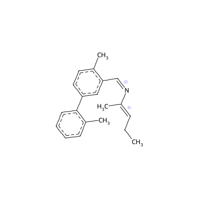 CC/C=C(C)/N=C\c1cc(-c2ccccc2C)ccc1C